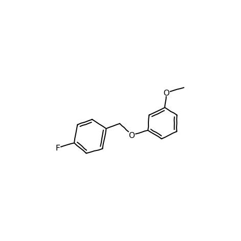 COc1cccc(OCc2ccc(F)cc2)c1